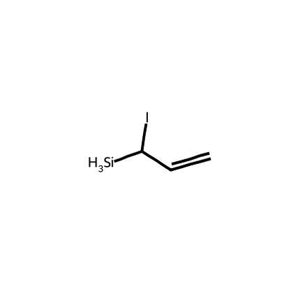 C=CC([SiH3])I